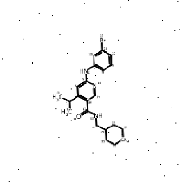 CC(C)c1cc(Nc2cccc(Br)c2)ncc1C(=O)NCC1CCOCC1